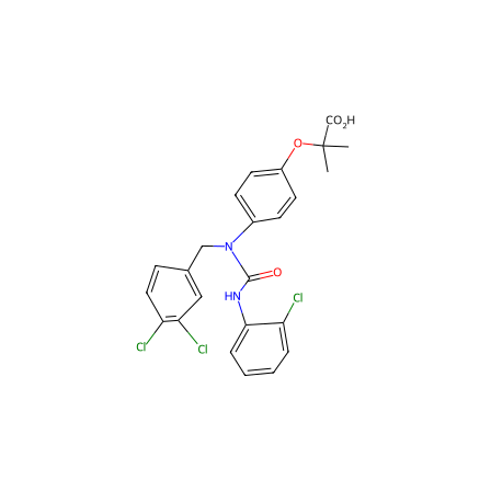 CC(C)(Oc1ccc(N(Cc2ccc(Cl)c(Cl)c2)C(=O)Nc2ccccc2Cl)cc1)C(=O)O